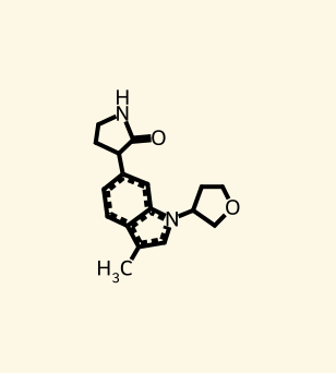 Cc1cn(C2CCOC2)c2cc(C3CCNC3=O)ccc12